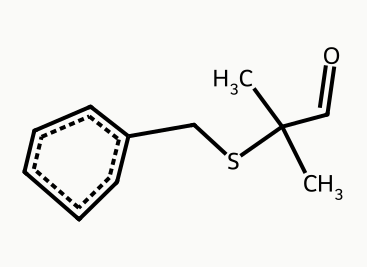 CC(C)(C=O)SCc1ccccc1